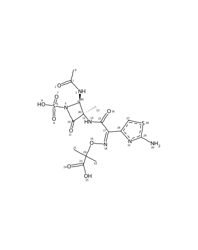 CC(=O)N[C@@H]1N(S(=O)(=O)O)C(=O)[C@]1(C)NC(=O)C(=NOC(C)(C)C(=O)O)c1csc(N)n1